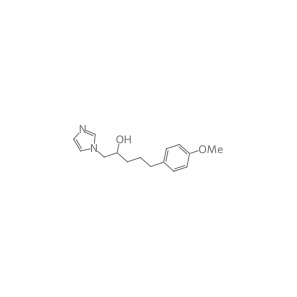 COc1ccc(CCCC(O)Cn2ccnc2)cc1